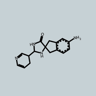 Nc1ccc2c(c1)CC1(C2)NC(C2C=NC=CC2)NC1=O